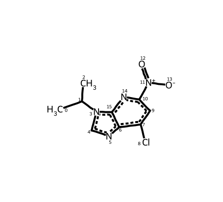 CC(C)n1cnc2c(Cl)cc([N+](=O)[O-])nc21